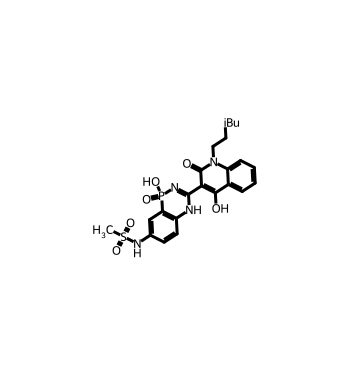 CCC(C)CCn1c(=O)c(C2=NP(=O)(O)c3cc(NS(C)(=O)=O)ccc3N2)c(O)c2ccccc21